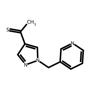 CC(=S)c1cnn(Cc2cccnc2)c1